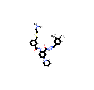 CCN(CC)CCSCc1cccc(C(=O)Nc2ccc(N3CCCCC3)cc2C(=O)N/N=C/c2ccc(C)c(C)c2)c1